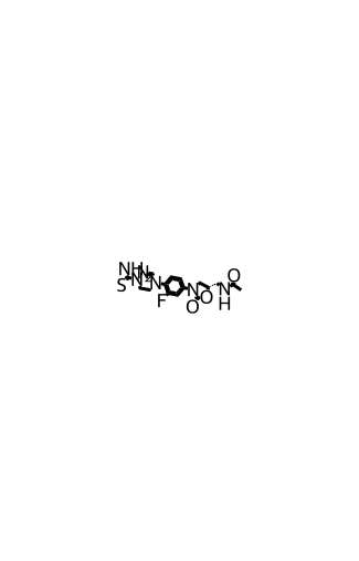 CC(=O)NC[C@H]1CN(c2ccc(N3C=NN(C(N)=S)CC3)c(F)c2)C(=O)O1